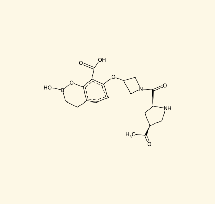 CC(=O)[C@@H]1CN[C@H](C(=O)N2CC(Oc3ccc4c(c3C(=O)O)OB(O)CC4)C2)C1